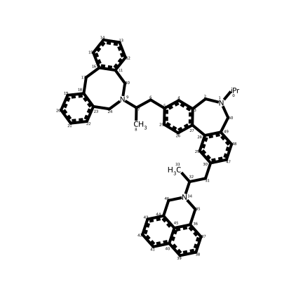 CC(C)N1Cc2cc(CC(C)N3Cc4ccccc4Cc4ccccc4C3)ccc2-c2cc(CC(C)N3Cc4cccc5cccc(c45)C3)ccc2C1